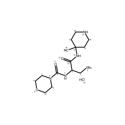 CC(C)(C)CC(NC(=O)N1CCOCC1)C(=O)NC1(C#N)CCNCC1.Cl